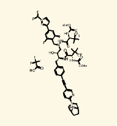 COC(=O)N[C@H](C(=O)N[C@@H](Cc1ccc(C#Cc2ccc(N3CC4CCC(C3)N4)nc2)cc1)[C@@H](O)CN(Cc1c(F)cc(-c2ccn(C(F)F)n2)cc1F)NC(=O)[C@@H](NC(=O)OC)C(C)(C)C(F)(F)F)C(C)(C)C(F)(F)F.O=C(O)C(F)(F)F